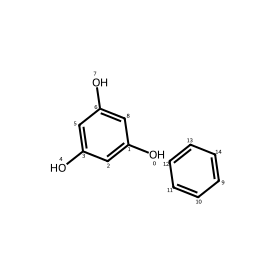 Oc1cc(O)cc(O)c1.c1ccccc1